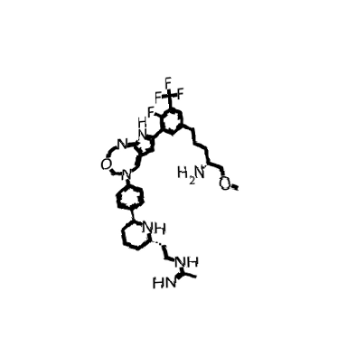 COC[C@H](N)CCCc1cc(-c2cc3/c([nH]2)=N\COCN(c2ccc([C@@H]4CCC[C@@H](CCNC(C)=N)N4)cc2)\C=3)c(F)c(C(F)(F)F)c1